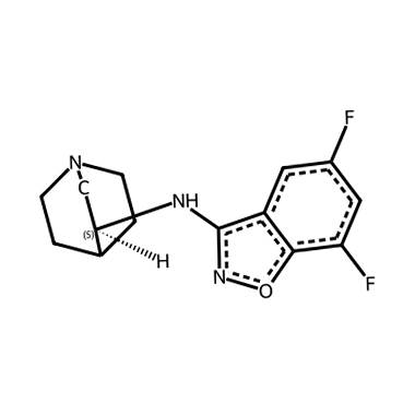 Fc1cc(F)c2onc(N[C@@H]3CN4CCC3CC4)c2c1